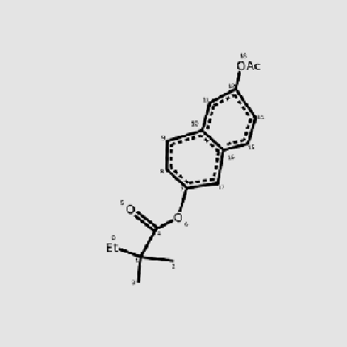 CCC(C)(C)C(=O)Oc1ccc2cc(OC(C)=O)ccc2c1